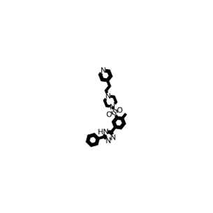 Cc1ccc(-c2nnc(-c3ccccc3)[nH]2)cc1S(=O)(=O)N1CCN(CCc2ccncc2)CC1